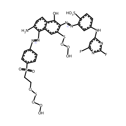 Nc1ccc2c(O)c(/N=N/c3cc(Nc4cc(F)nc(F)n4)ccc3S(=O)(=O)O)c(SOOO)cc2c1/N=N/c1ccc(S(=O)(=O)CCOSOOO)cc1